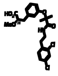 CO[C@@H](Cc1cccc(OC(C)(C)C(=O)NCCc2ccc(Cl)cc2Cl)c1)C(=O)O